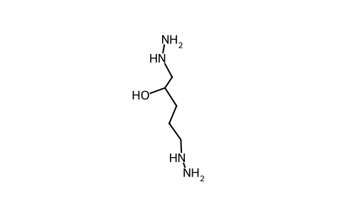 NNCCCC(O)CNN